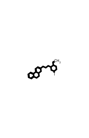 C=CC1CCC(I)CC1CCCC1=CC=C2c3ccccc3CCC2C1